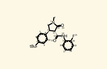 CN1C[C@H](c2ccc(C(C)(C)C)cc2)[C@@H](C(=O)Nc2ccccc2F)C1=O